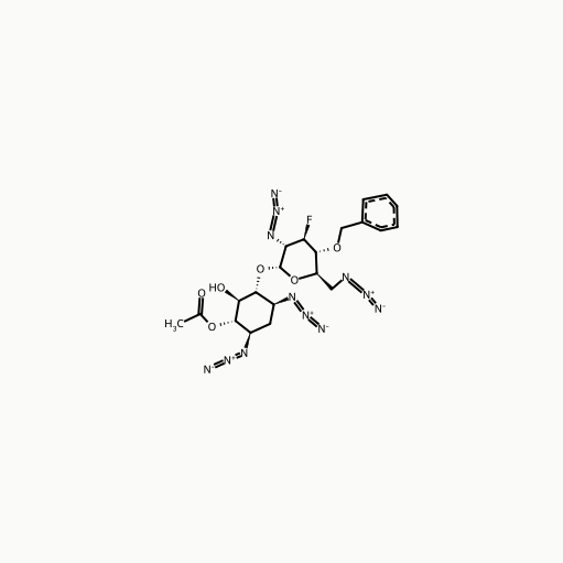 CC(=O)O[C@@H]1[C@@H](O)[C@H](O[C@H]2O[C@H](CN=[N+]=[N-])[C@@H](OCc3ccccc3)[C@H](F)[C@H]2N=[N+]=[N-])[C@@H](N=[N+]=[N-])C[C@H]1N=[N+]=[N-]